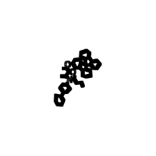 C=C/C=C(\C)N(C(=C)C1=C(C)Oc2ccc3c(c2O1)-c1ccccc1C31c2ccccc2-c2ccccc21)c1ccc(-c2ccccc2)cc1